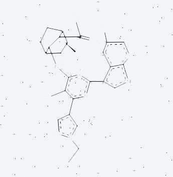 CCn1cc(-c2nc(-c3c[nH]c4ncc(F)cc34)nc(N[C@H]3C4CCC(CC4)[C@@H]3C(=O)O)c2F)cn1